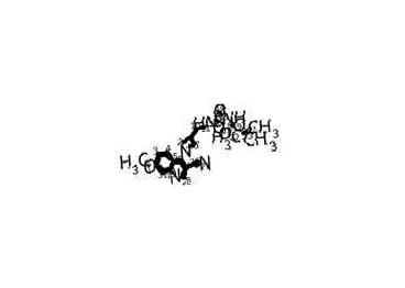 COc1ccc2c(N3CC(CCNS(=O)(=O)NC(=O)OC(C)(C)C)C3)c(C#N)cnc2c1